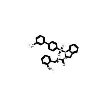 Nc1ccccc1CNC(=O)[C@@H]1Cc2ccccc2N1S(=O)(=O)c1ccc(-c2cccc(C(F)(F)F)c2)cc1